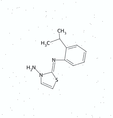 CC(C)c1ccccc1/N=c1\sccn1N